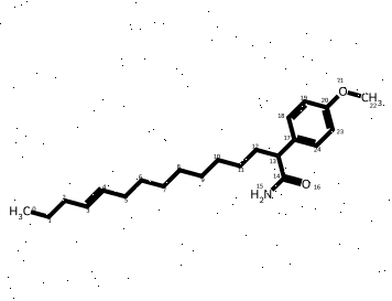 CCCC=CCCCCCCCCC(C(N)=O)c1ccc(OC)cc1